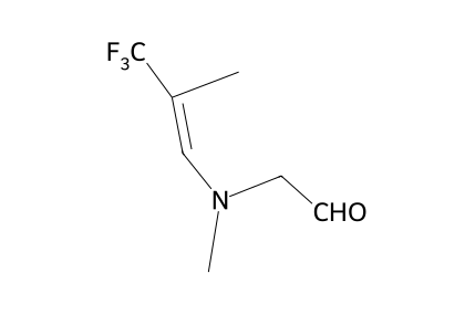 C/C(=C\N(C)CC=O)C(F)(F)F